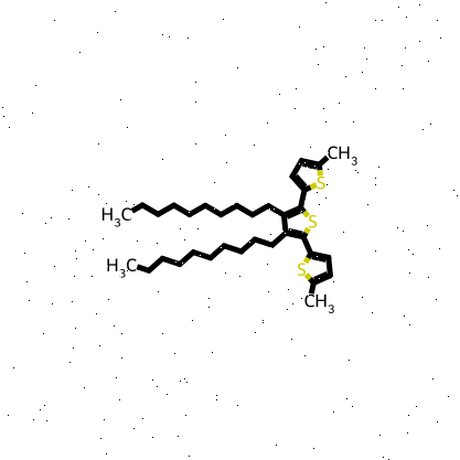 CCCCCCCCCCc1c(-c2ccc(C)s2)sc(-c2ccc(C)s2)c1CCCCCCCCCC